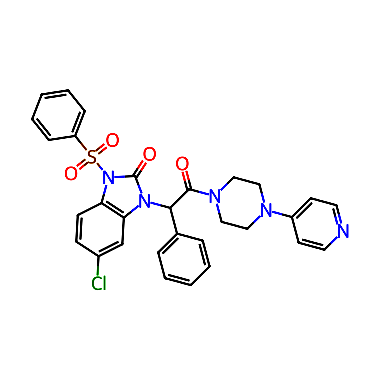 O=C(C(c1ccccc1)n1c(=O)n(S(=O)(=O)c2ccccc2)c2ccc(Cl)cc21)N1CCN(c2ccncc2)CC1